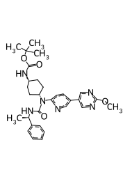 COc1ncc(-c2ccc(N(C(=O)N[C@H](C)c3ccccc3)[C@H]3CC[C@H](NC(=O)OC(C)(C)C)CC3)nc2)cn1